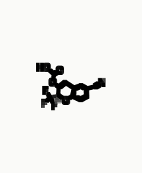 N#Cc1ccc2c(c1)C=C(OC(=O)O)[C@@H](C(F)(F)F)O2